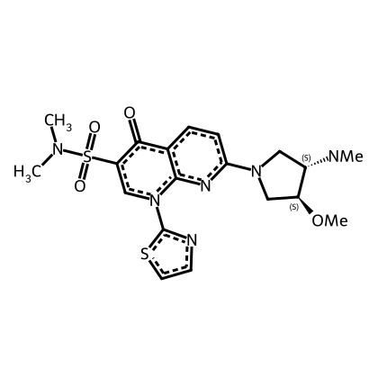 CN[C@H]1CN(c2ccc3c(=O)c(S(=O)(=O)N(C)C)cn(-c4nccs4)c3n2)C[C@@H]1OC